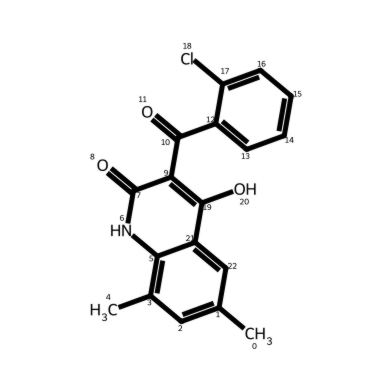 Cc1cc(C)c2[nH]c(=O)c(C(=O)c3ccccc3Cl)c(O)c2c1